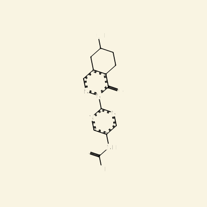 CC(=O)Nc1cnc(-n2ncc3c(c2=O)CCC(C)C3)nc1